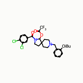 CC(C)COc1ccccc1CN1CCC2(CC1)CCN(C(=O)c1ccc(Cl)c(Cl)c1)C2OC(=O)C(F)(F)F